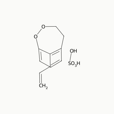 C=CCc1c2cccc1OOCC2.O=S(=O)(O)O